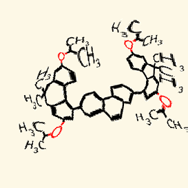 CC(C)Oc1ccc2c(c1)C(C)(C)c1cc(OC(C)C)cc(-c3ccc4c(ccc5cc(-c6cc(OC(C)C)cc7c6-c6ccc(OC(C)C)cc6C7(C)C)ccc54)c3)c1-2